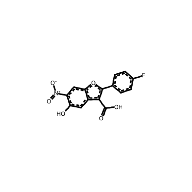 O=C(O)c1c(-c2ccc(F)cc2)oc2cc([N+](=O)[O-])c(O)cc12